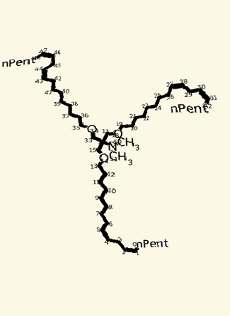 CCCCC/C=C\C/C=C\CCCCCCCCOCC(COCCCCCCCC/C=C\C/C=C\CCCCC)(COCCCCCCCC/C=C\C/C=C\CCCCC)N(C)C